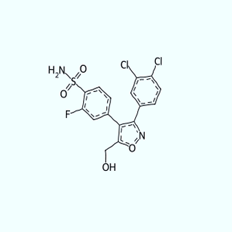 NS(=O)(=O)c1ccc(-c2c(-c3ccc(Cl)c(Cl)c3)noc2CO)cc1F